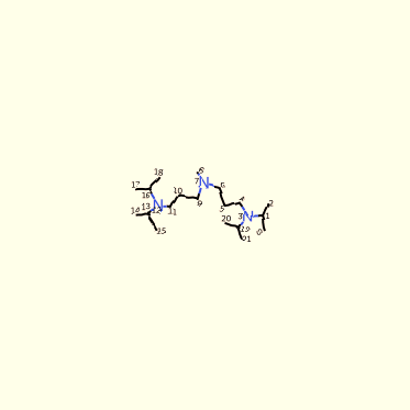 CC(C)N(CCCN(C)CCCN(C(C)C)C(C)C)C(C)C